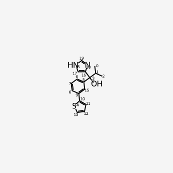 CC(C)C(O)(c1cccc(-c2cccs2)c1)c1c[nH]cn1